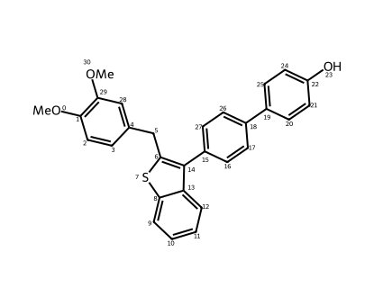 COc1ccc(Cc2sc3ccccc3c2-c2ccc(-c3ccc(O)cc3)cc2)cc1OC